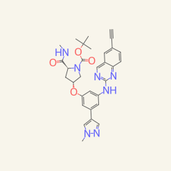 C#Cc1ccc2nc(Nc3cc(O[C@H]4C[C@@H](C(=O)NC)N(C(=O)OC(C)(C)C)C4)cc(-c4cnn(C)c4)c3)ncc2c1